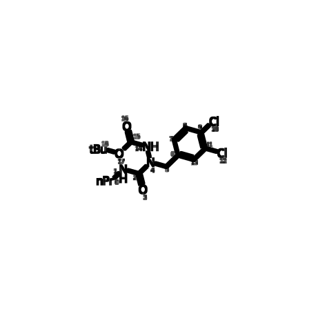 CCCNC(=O)N(Cc1ccc(Cl)c(Cl)c1)NC(=O)OC(C)(C)C